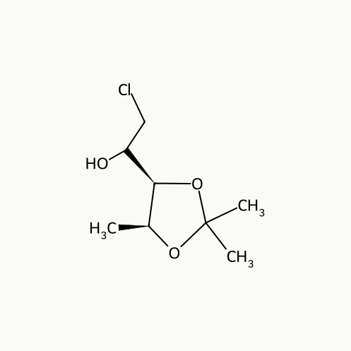 C[C@@H]1OC(C)(C)O[C@@H]1C(O)CCl